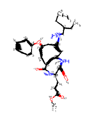 CCC(CC)CNc1cc2c(cc1Oc1ccccc1)C(=O)N[C@H](CCC(=O)OC)C(=O)N2